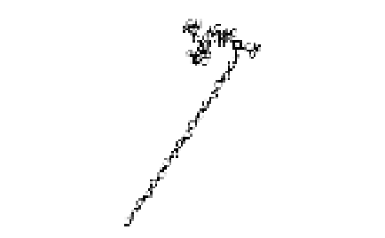 COCCOCCOCCOCCOCCOCCOCCOCCOCCOCCOCCOCCOCCOCCOCCOCCOCC#Cc1cc(NC(=O)[C@H](C)NC(=O)[C@@H](NC(=O)CN2C(=O)[C@@H](N3C(=O)C=CC3=O)C[C@H]2COCCS(=O)(=O)O)C(C)C)ccc1COC(=O)C(C)(C)C